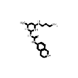 CC1CC(NCCCN)NC(NC(=O)Nc2ccc3c(c2)CCNC3)N1